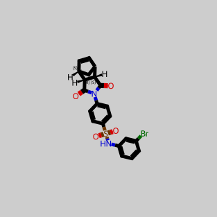 O=C1[C@@H]2[C@@H]3C=CC(C3)[C@@H]2C(=O)N1c1ccc(S(=O)(=O)Nc2cccc(Br)c2)cc1